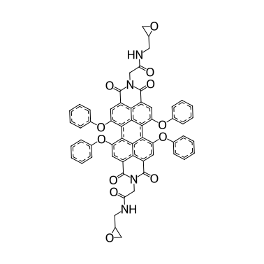 O=C(CN1C(=O)c2cc(Oc3ccccc3)c3c4c(Oc5ccccc5)cc5c6c(cc(Oc7ccccc7)c(c7c(Oc8ccccc8)cc(c2c37)C1=O)c64)C(=O)N(CC(=O)NCC1CO1)C5=O)NCC1CO1